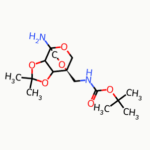 CC(C)(C)OC(=O)NC[C@]12COC(N)(CO1)C1OC(C)(C)OC12